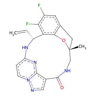 C=C[C@H]1Nc2ccn3ncc(c3n2)C(=O)NC[C@@]2(C)Cc3cc(F)c(F)c1c3O2